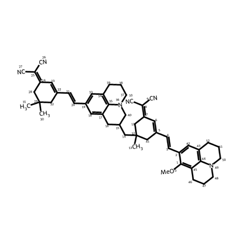 COc1c(/C=C/C2=CC(=C(C#N)C#N)CC(C)(CC3Cc4cc(/C=C/C5=CC(=C(C#N)C#N)CC(C)(C)C5)cc5c4N(CCC5)C3)C2)cc2c3c1CCCN3CCC2